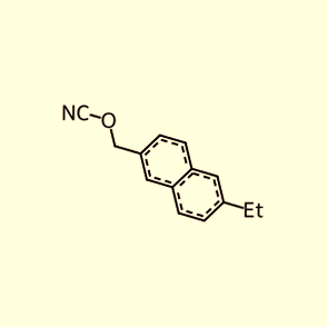 CCc1ccc2cc(COC#N)ccc2c1